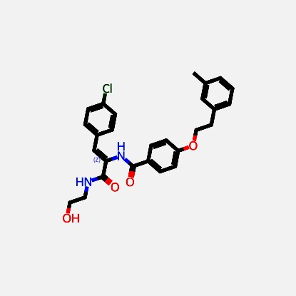 Cc1cccc(CCOc2ccc(C(=O)N/C(=C\c3ccc(Cl)cc3)C(=O)NCCO)cc2)c1